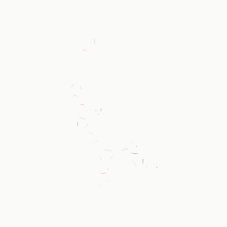 C=CC(=O)OCCCOc1ccc(C(=O)Oc2ccc(/C=C/C(=O)Oc3ccc(OC(=O)C=C)c4c3S/C(=C(\C#N)c3ccc(C#N)cc3)S4)cc2OC)cc1